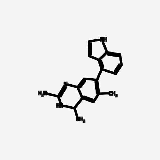 Cc1cc2c(cc1-c1cccc3[nH]ccc13)N=C(N)NC2N